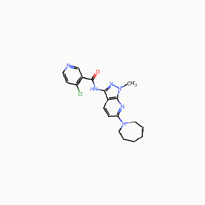 Cn1nc(NC(=O)c2cnccc2Cl)c2ccc(N3CCCCCC3)nc21